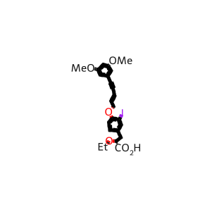 CCO[C@@H](Cc1ccc(OCC=CC#Cc2cc(OC)cc(OC)c2)c(I)c1)C(=O)O